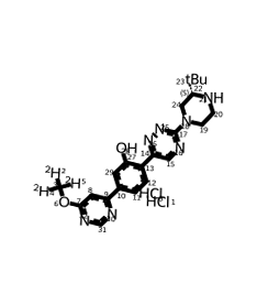 Cl.Cl.[2H]C([2H])([2H])Oc1cc(-c2ccc(-c3cnc(N4CCN[C@@H](C(C)(C)C)C4)nn3)c(O)c2)ncn1